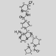 CN1CCC[C@H]1C(=O)N1CCC[C@@H](c2nc(-c3ccc(C(=O)Nc4cc(C(F)(F)F)ccn4)cc3)c3c(N)nccn23)C1